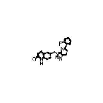 O=c1ccc2cc(Cn3nnc4ccc(-c5ccccc5F)nc43)ccc2[nH]1